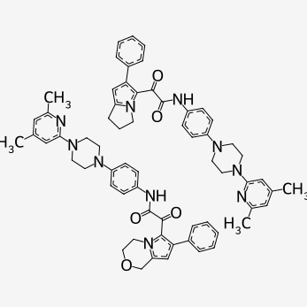 Cc1cc(C)nc(N2CCN(c3ccc(NC(=O)C(=O)c4c(-c5ccccc5)cc5n4CCC5)cc3)CC2)c1.Cc1cc(C)nc(N2CCN(c3ccc(NC(=O)C(=O)c4c(-c5ccccc5)cc5n4CCOC5)cc3)CC2)c1